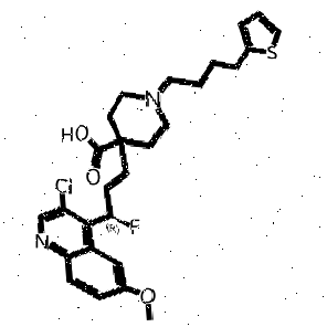 COc1ccc2ncc(Cl)c([C@H](F)CCC3(C(=O)O)CCN(CCCCc4cccs4)CC3)c2c1